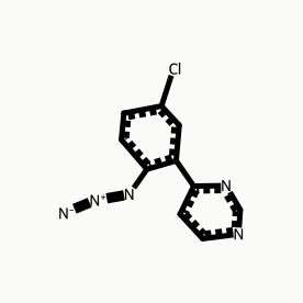 [N-]=[N+]=Nc1ccc(Cl)cc1-c1ccncn1